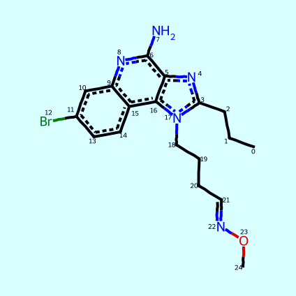 CCCc1nc2c(N)nc3cc(Br)ccc3c2n1CCCC=NOC